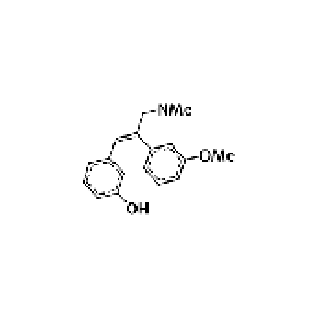 CNCC(=Cc1cccc(O)c1)c1cccc(OC)c1